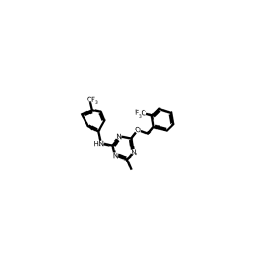 Cc1nc(Nc2ccc(C(F)(F)F)cc2)nc(OCc2ccccc2C(F)(F)F)n1